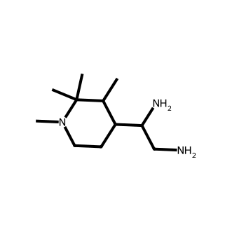 CC1C(C(N)CN)CCN(C)C1(C)C